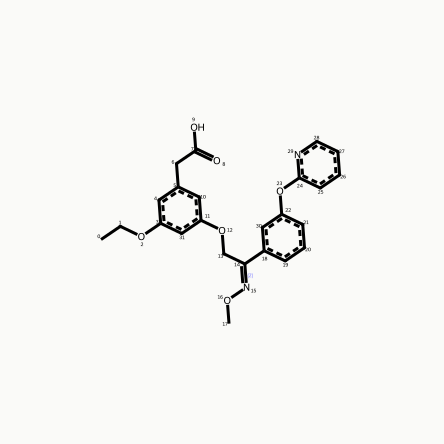 CCOc1cc(CC(=O)O)cc(OC/C(=N\OC)c2cccc(Oc3ccccn3)c2)c1